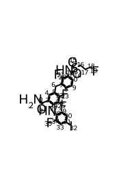 NC(=O)c1cc(Cc2cccc(NS(=O)(=O)CCCF)c2F)c(F)c(F)c1Nc1ccc(I)cc1F